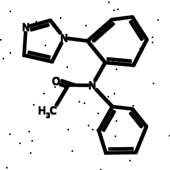 CC(=O)N(c1ccccc1)c1ccccc1-n1ccnc1